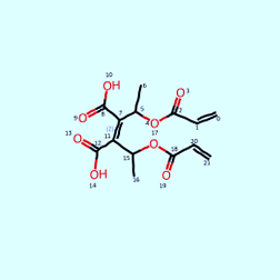 C=CC(=O)OC(C)/C(C(=O)O)=C(/C(=O)O)C(C)OC(=O)C=C